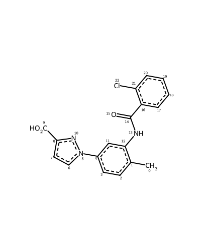 Cc1ccc(-n2ccc(C(=O)O)n2)cc1NC(=O)c1ccccc1Cl